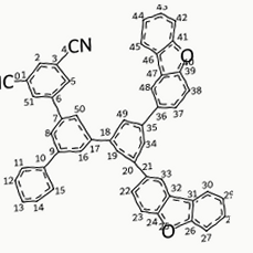 N#Cc1cc(C#N)cc(-c2cc(-c3ccccc3)cc(-c3cc(-c4ccc5oc6ccccc6c5c4)cc(-c4ccc5oc6ccccc6c5c4)c3)c2)c1